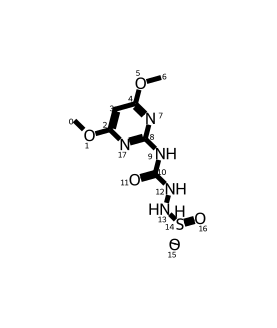 COc1cc(OC)nc(NC(=O)NN[SH](=O)=O)n1